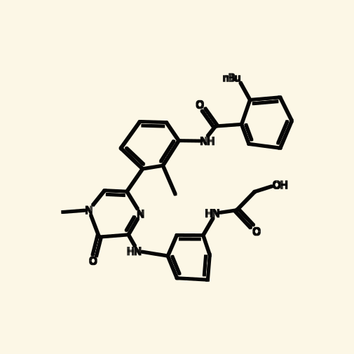 CCCCc1ccccc1C(=O)Nc1cccc(-c2cn(C)c(=O)c(Nc3cccc(NC(=O)CO)c3)n2)c1C